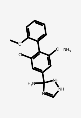 COc1ccccc1-c1c(Cl)cc(C2(N)N=CNN2)cc1Cl.N